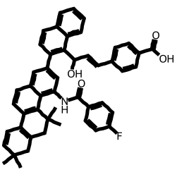 CC1(C)C=CC2=C(C1)CC(C)(C)c1c2ccc2cc(-c3ccc4ccccc4c3C(O)C=Cc3ccc(C(=O)O)cc3)cc(NC(=O)c3ccc(F)cc3)c12